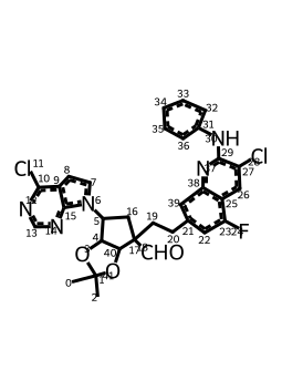 CC1(C)OC2C(n3ccc4c(Cl)ncnc43)CC(C=O)(CCc3cc(F)c4cc(Cl)c(Nc5ccccc5)nc4c3)C2O1